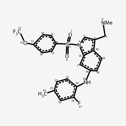 CNCc1cn(S(=O)(=O)c2ccc(OC(F)(F)F)cc2)c2cc(Nc3ccc(C)cc3F)ccc12